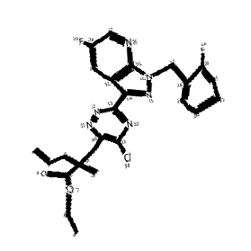 C=CCC(C)(C(=O)OCC)c1nnc(-c2nn(Cc3ccccc3F)c3ncc(F)cc23)nc1Cl